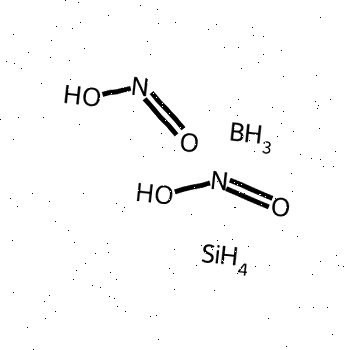 B.O=NO.O=NO.[SiH4]